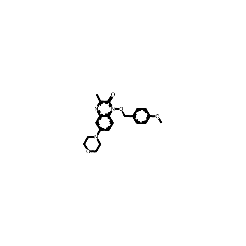 COc1ccc(COn2c(=O)c(C)nc3cc(N4CCOCC4)ccc32)cc1